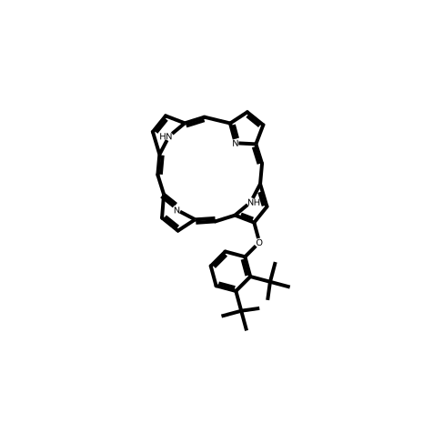 CC(C)(C)c1cccc(Oc2cc3cc4nc(cc5ccc(cc6nc(cc2[nH]3)C=C6)[nH]5)C=C4)c1C(C)(C)C